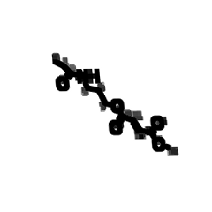 CCC(=O)NCCCOC(=O)/C=C/C(=O)OC